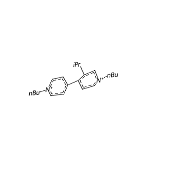 CCCC[n+]1ccc(-c2cc[n+](CCCC)cc2C(C)C)cc1